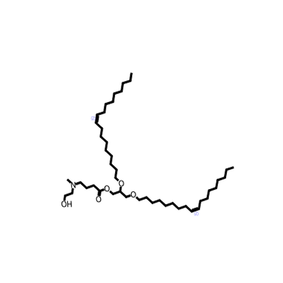 CCCCCCCC/C=C\CCCCCCCCOCC(COC(=O)CCCN(C)CCO)OCCCCCCCC/C=C\CCCCCCCC